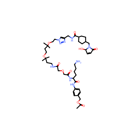 CC(=O)OCc1ccc(NC(=O)C(CCCCN)NC(=O)COCC(=O)NCCC(C)(C)OCCC(C)(C)OCCn2cc(CNC(=O)C3CCC(CN4C(=O)C=CC4O)CC3)nn2)cc1